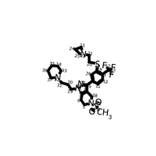 CS(=O)(=O)N1CCc2c(c(-c3ccc(C(F)(F)F)c(SCCN4CCC4)c3)nn2CCCN2CCCCC2)C1